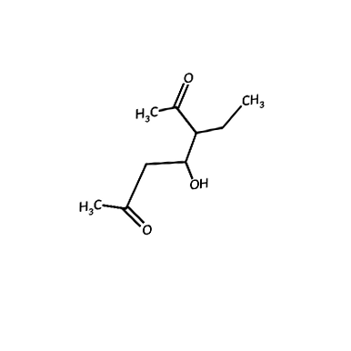 CCC(C(C)=O)C(O)CC(C)=O